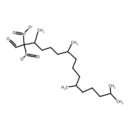 CC(C)CCCC(C)CCCC(C)CCCC(C)C([C]=O)([N+](=O)[O-])[N+](=O)[O-]